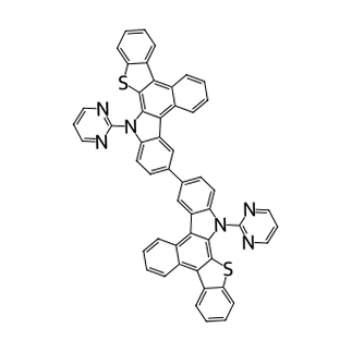 c1cnc(-n2c3ccc(-c4ccc5c(c4)c4c6ccccc6c6c7ccccc7sc6c4n5-c4ncccn4)cc3c3c4ccccc4c4c5ccccc5sc4c32)nc1